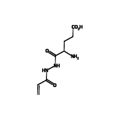 C=CC(=O)NNC(=O)C(N)CCC(=O)O